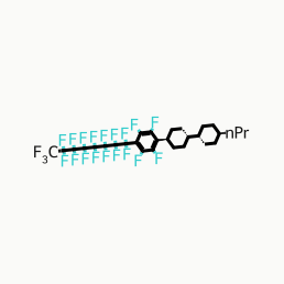 CCC[C@H]1CC[C@H]([C@H]2CC[C@H](c3c(F)c(F)c(C(F)(F)C(F)(F)C(F)(F)C(F)(F)C(F)(F)C(F)(F)C(F)(F)C(F)(F)F)c(F)c3F)CC2)CC1